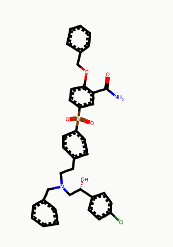 NC(=O)c1cc(S(=O)(=O)c2ccc(CCN(Cc3ccccc3)C[C@H](O)c3ccc(Cl)cc3)cc2)ccc1OCc1ccccc1